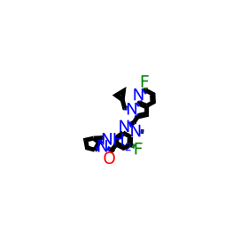 Cn1c(-c2cc3ccc(F)nc3n2CC2CC2)nc2cc(C(=O)N3CC4CCC3C4N)cc(F)c21